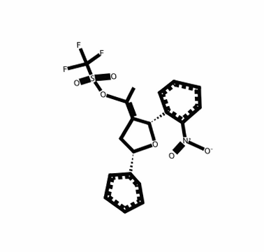 C/C(OS(=O)(=O)C(F)(F)F)=C1/C[C@@H](c2ccccc2)O[C@H]1c1ccccc1[N+](=O)[O-]